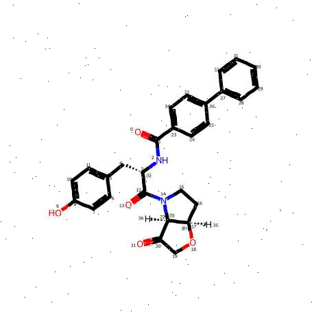 O=C(N[C@@H](Cc1ccc(O)cc1)C(=O)N1CC[C@H]2OCC(=O)[C@H]21)c1ccc(-c2ccccc2)cc1